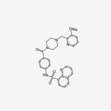 COc1cccnc1CN1CCN(C(=O)c2ccc(NS(=O)(=O)c3cccc4cccnc34)cc2)CC1